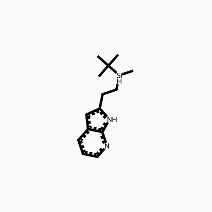 C[SiH](CCc1cc2cccnc2[nH]1)C(C)(C)C